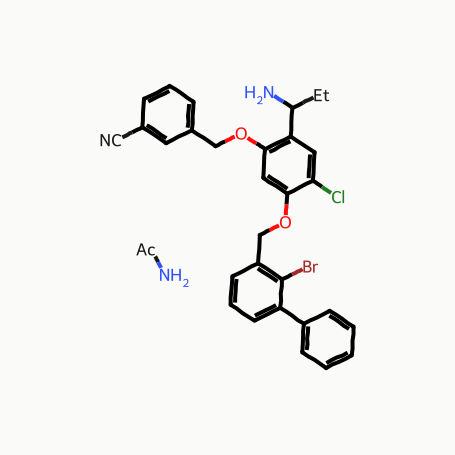 CC(N)=O.CCC(N)c1cc(Cl)c(OCc2cccc(-c3ccccc3)c2Br)cc1OCc1cccc(C#N)c1